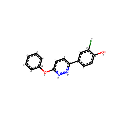 Oc1ccc(-c2ccc(Oc3ccccc3)nn2)cc1F